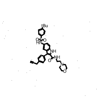 C#CCc1ccc(-c2c(C(=O)NCCN3CCOCC3)[nH]c3ccc(NS(=O)(=O)c4ccc(C(C)(C)C)cc4)cc23)cc1